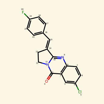 O=c1c2cc(Cl)ccc2nc2n1CC/C2=C\c1ccc(F)cc1